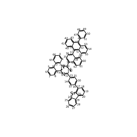 c1ccc(-c2ccccc2-c2nc(-c3ccc(-c4cccc5c4sc4ccccc45)cc3)nc(-c3ccc(-c4c5ccccc5c(-c5ccccc5)c5ccccc45)c4ccccc34)n2)cc1